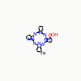 OOc1cccc2c3nc4nc(nc5[nH]c(nc6nc(nc([nH]3)c12)-c1ccccc1-6)c1ccccc51)-c1ccccc1-4.[Fe]